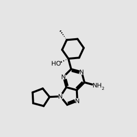 C[C@@H]1CCC[C@@](O)(c2nc(N)c3ncn(C4CCCC4)c3n2)C1